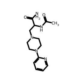 CC(=O)NC(CN1CCN(c2ccccn2)CC1)C(N)=O